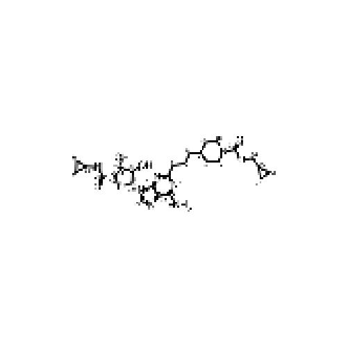 Nc1nc(CCCC2CCN(C(=O)OCC3CC3)CC2)nc2c1ncn2[C@@H]1O[C@H](C(=O)NC2CC2)[C@H](O)C1O